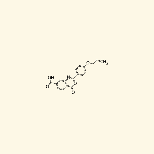 C=CCOc1ccc(-c2nc3cc(C(=O)O)ccc3c(=O)o2)cc1